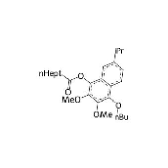 CCCCCCCC(=O)Oc1c(OC)c(OC)c(OCCCC)c2ccc(C(C)C)cc12